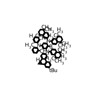 Cc1ccccc1N(c1cc2c3c(c1)N(c1ccc4c(c1)C(C)(C)CCC4(C)C)c1cc4c(cc1B3c1cc3c(cc1N2c1ccc2c(c1)-c1ccc(C(C)(C)C)cc1C1C[C@H]21)C(C)(C)CCC3(C)C)C(C)(C)CCC4(C)C)c1ccccc1C